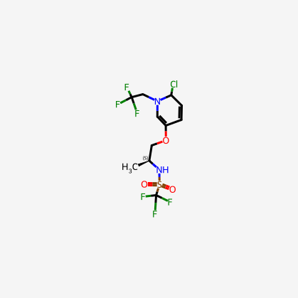 C[C@@H](COC1=CN(CC(F)(F)F)C(Cl)C=C1)NS(=O)(=O)C(F)(F)F